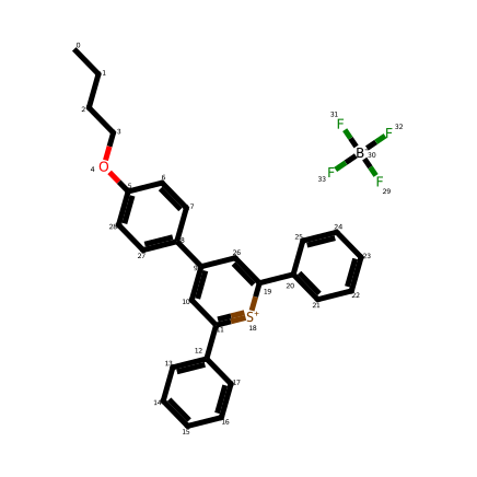 CCCCOc1ccc(-c2cc(-c3ccccc3)[s+]c(-c3ccccc3)c2)cc1.F[B-](F)(F)F